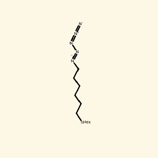 CCCCCCCCCCCC/N=N/N=[N+]=[N-]